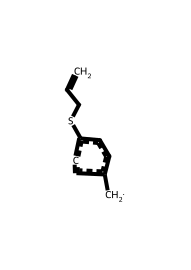 [CH2]c1ccc(SCC=C)cc1